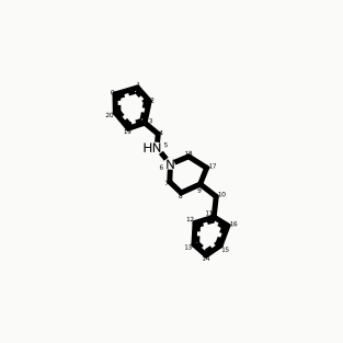 c1ccc(CNN2CCC(Cc3ccccc3)CC2)cc1